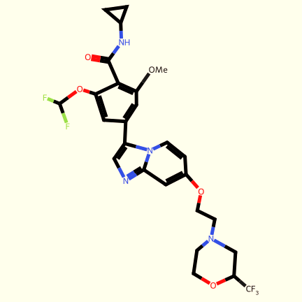 COc1cc(-c2cnc3cc(OCCN4CCOC(C(F)(F)F)C4)ccn23)cc(OC(F)F)c1C(=O)NC1CC1